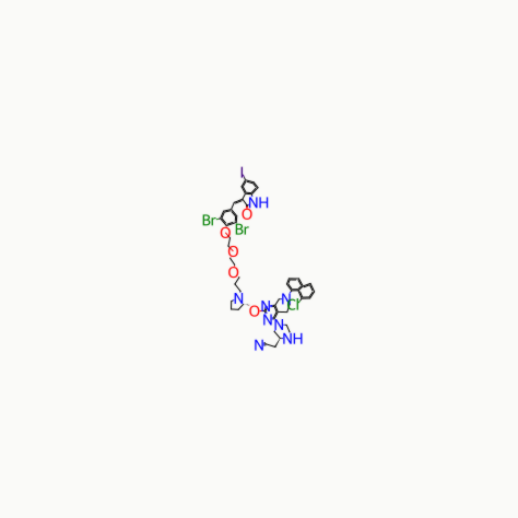 N#CC[C@H]1CN(c2nc(OC[C@@H]3CCCN3CCCOCCOCCOc3c(Br)cc(C=C4C(=O)Nc5ccc(I)cc54)cc3Br)nc3c2CCN(c2cccc4cccc(Cl)c24)C3)CCN1